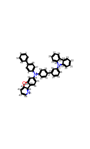 c1ccc(-c2ccc(N(c3ccc(-c4cccc(-n5c6ccccc6c6ccccc65)c4)cc3)c3ccc4c(c3)oc3cccnc34)cc2)cc1